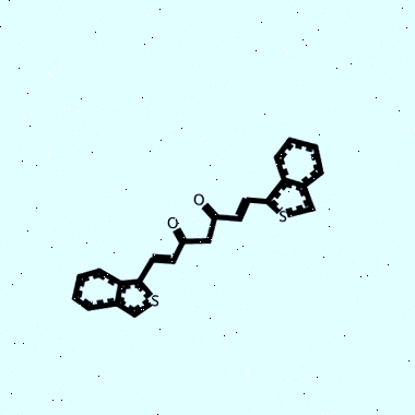 O=C(C=Cc1scc2ccccc12)CC(=O)C=Cc1scc2ccccc12